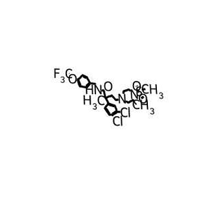 C[C@H]1CN(CCC(C)(C(=O)NCc2ccc(OC(F)(F)F)cc2)c2ccc(Cl)c(Cl)c2)CCN1S(C)(=O)=O